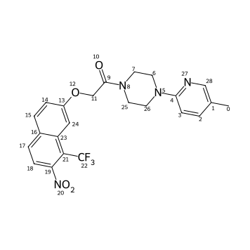 Cc1ccc(N2CCN(C(=O)COc3ccc4ccc([N+](=O)[O-])c(C(F)(F)F)c4c3)CC2)nc1